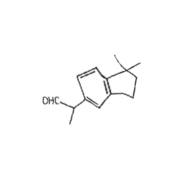 CC(C=O)c1ccc2c(c1)CCC2(C)C